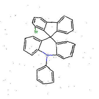 Brc1cccc2c1C1(c3ccccc3-2)c2ccccc2N(c2ccccc2)c2ccccc21